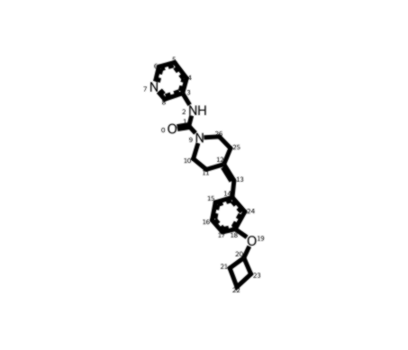 O=C(Nc1cccnc1)N1CCC(=Cc2cccc(OC3CCC3)c2)CC1